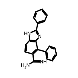 N=C(N)c1ccc2[nH]c(-c3ccccc3)nc2c1-c1ccccc1